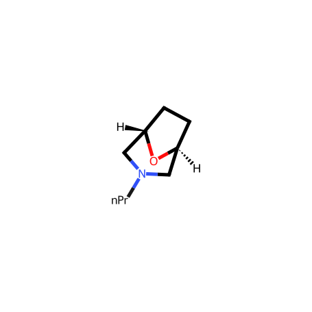 CCCN1C[C@@H]2CC[C@@H](C1)O2